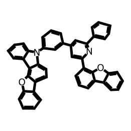 c1ccc(-c2cc(-c3cccc(-n4c5ccccc5c5c6oc7ccccc7c6ccc54)c3)cc(-c3cccc4c3oc3ccccc34)n2)cc1